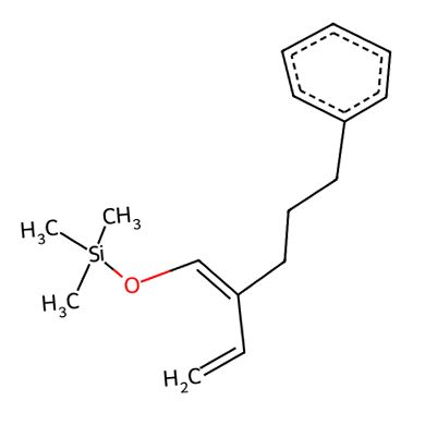 C=CC(=CO[Si](C)(C)C)CCCc1ccccc1